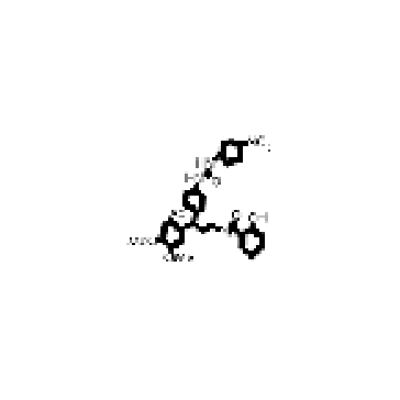 COc1cc(C(C)=O)c(C(CCNC(=O)c2ccccc2O)c2ccc(NC(=O)Nc3ccc([N+](=O)[O-])cc3)cc2)cc1OC